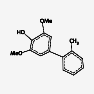 COc1cc(-c2ccccc2C)cc(OC)c1O